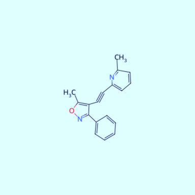 Cc1cccc(C#Cc2c(-c3ccccc3)noc2C)n1